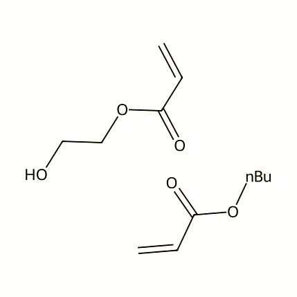 C=CC(=O)OCCCC.C=CC(=O)OCCO